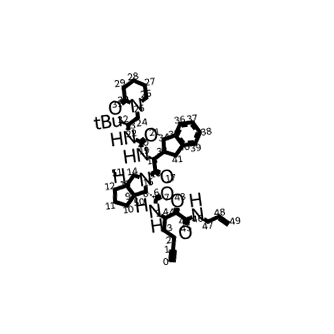 C#CCCC(NC(=O)[C@@H]1[C@H]2CCC[C@H]2CN1C(=O)[C@@H](NC(=O)N[C@H](CN1CCCCC1=O)C(C)(C)C)C1Cc2ccccc2C1)C(=O)C(=O)NCC=C